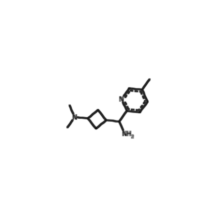 Cc1ccc(C(N)C2CC(N(C)C)C2)nc1